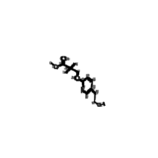 COC(=O)C(C)(C)COc1ccc(CCO)cn1